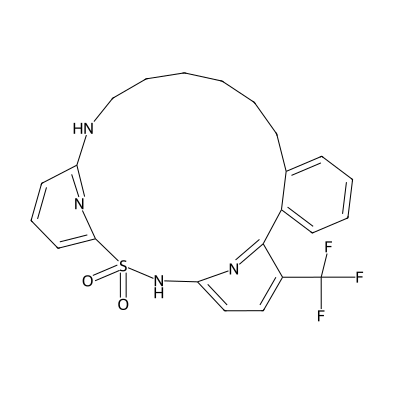 O=S1(=O)Nc2ccc(C(F)(F)F)c(n2)-c2ccccc2CCCCCCNc2cccc1n2